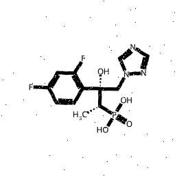 C[C@H]([C@](O)(Cn1cncn1)c1ccc(F)cc1F)P(=O)(O)O